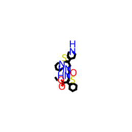 CCOC(=O)c1c(NC(=O)NCc2c(N3CCCCC3)sc3c2CCNC3)sc2c1CCCC2